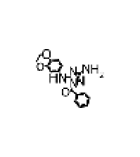 Nc1nc(Nc2ccc3c(c2)OCCO3)n(C(=O)c2ccccc2)n1